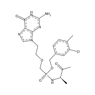 CC(=O)[C@@H](C)NP(=O)(COCCn1cnc2c(=O)[nH]c(N)nc21)OCc1ccc(C)c(Cl)c1